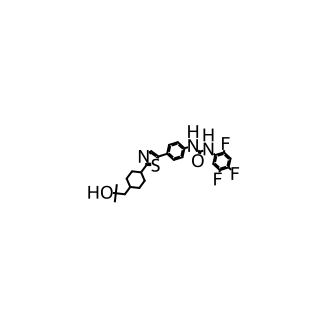 CC(C)(O)CC1CCC(c2ncc(-c3ccc(NC(=O)Nc4cc(F)c(F)cc4F)cc3)s2)CC1